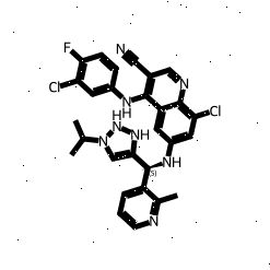 Cc1ncccc1[C@H](Nc1cc(Cl)c2ncc(C#N)c(Nc3ccc(F)c(Cl)c3)c2c1)C1=CN(C(C)C)NN1